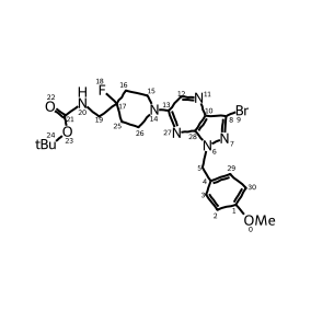 COc1ccc(Cn2nc(Br)c3ncc(N4CCC(F)(CNC(=O)OC(C)(C)C)CC4)nc32)cc1